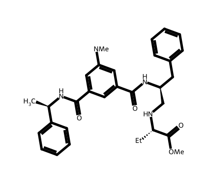 CC[C@H](NC[C@H](Cc1ccccc1)NC(=O)c1cc(NC)cc(C(=O)N[C@H](C)c2ccccc2)c1)C(=O)OC